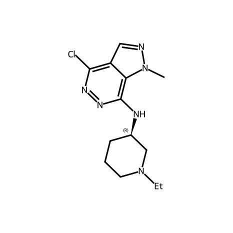 CCN1CCC[C@@H](Nc2nnc(Cl)c3cnn(C)c23)C1